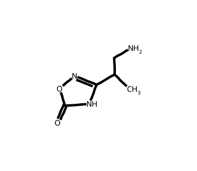 CC(CN)c1noc(=O)[nH]1